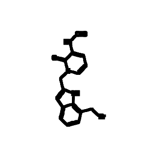 CC(C)Cc1cccc2cc(Cn3cccc(NC=O)c3=O)[nH]c12